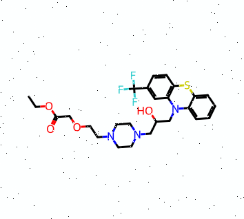 CCOC(=O)COCCN1CCN(CC(O)CN2c3ccccc3Sc3ccc(C(F)(F)F)cc32)CC1